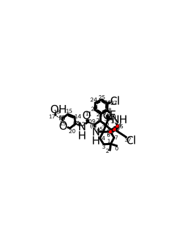 CC1(C)CCC2(CC1)N[C@@H](C(=O)N[C@@H]1C=C[C@@H](CO)OC1)C(c1cccc(Cl)c1F)C21C(=O)Nc2cc(Cl)ccc21